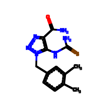 Cc1ccc(Cn2nnc(C(N)=O)c2NC(N)=S)cc1C